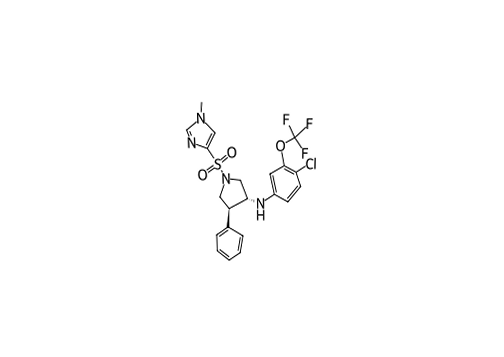 Cn1cnc(S(=O)(=O)N2C[C@H](Nc3ccc(Cl)c(OC(F)(F)F)c3)[C@@H](c3ccccc3)C2)c1